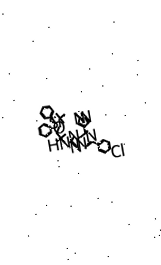 Cn1cc(-c2nc(-c3ccc(Cl)cc3)cn3nc(NC(C)(C)CO[Si](c4ccccc4)(c4ccccc4)C(C)(C)C)nc23)cn1